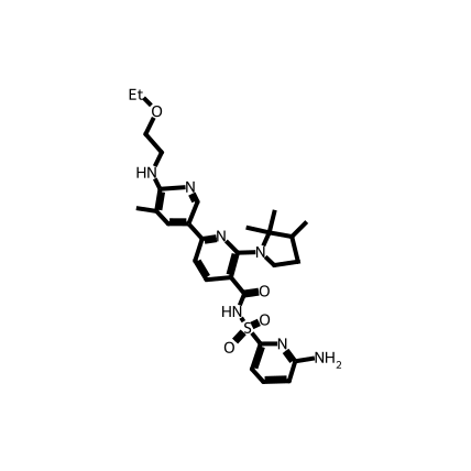 CCOCCNc1ncc(-c2ccc(C(=O)NS(=O)(=O)c3cccc(N)n3)c(N3CCC(C)C3(C)C)n2)cc1C